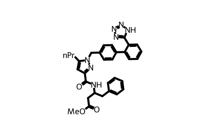 CCCc1cc(C(=O)NC(CC(=O)OC)Cc2ccccc2)nn1Cc1ccc(-c2ccccc2-c2nnn[nH]2)cc1